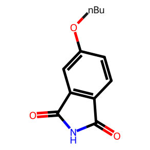 CCCCOc1ccc2c(c1)C(=O)NC2=O